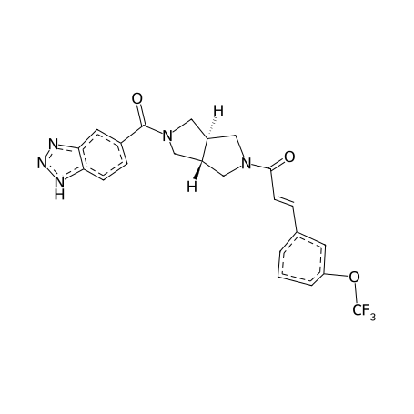 O=C(/C=C/c1cccc(OC(F)(F)F)c1)N1C[C@@H]2CN(C(=O)c3ccc4[nH]nnc4c3)C[C@H]2C1